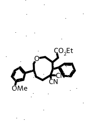 CCOC(=O)CC1COCC(c2cccc(OC)c2)CCC(C#N)(C#N)C1c1ccccc1